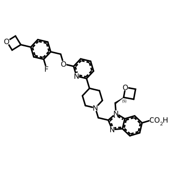 O=C(O)c1ccc2nc(CN3CCC(c4cccc(OCc5ccc(C6COC6)cc5F)n4)CC3)n(C[C@@H]3CCO3)c2c1